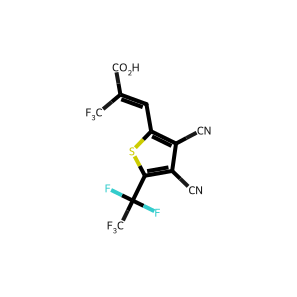 N#Cc1c(/C=C(/C(=O)O)C(F)(F)F)sc(C(F)(F)C(F)(F)F)c1C#N